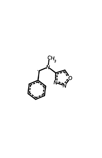 CN([CH]c1ccccc1)c1conn1